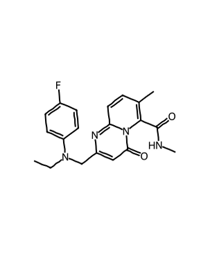 CCN(Cc1cc(=O)n2c(C(=O)NC)c(C)ccc2n1)c1ccc(F)cc1